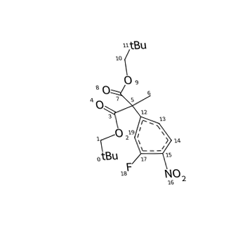 CC(C)(C)COC(=O)C(C)(C(=O)OCC(C)(C)C)c1ccc([N+](=O)[O-])c(F)c1